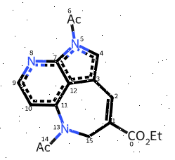 CCOC(=O)C1=Cc2cn(C(C)=O)c3nccc(c23)N(C(C)=O)C1